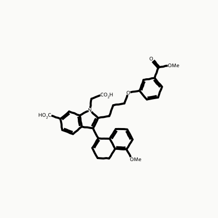 COC(=O)c1cccc(OCCCc2c(C3=CCCc4c(OC)cccc43)c3ccc(C(=O)O)cc3n2CC(=O)O)c1